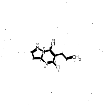 C=CCc1c(Cl)nc2ccnn2c1Cl